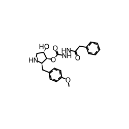 COc1ccc(C[C@H]2NC[C@H](O)[C@H]2OC(=O)NNC(=O)Cc2ccccc2)cc1